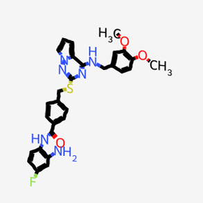 COc1ccc(CNc2nc(SCc3ccc(C(=O)Nc4ccc(F)cc4N)cc3)nn3cccc23)cc1OC